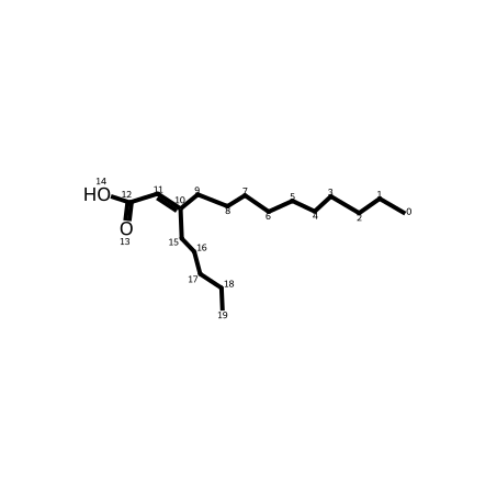 CCCCCCCCCC/C(=C/C(=O)O)CCCCC